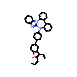 C=Cc1c(/C=C\C)oc2ccc(-c3ccc(N4c5ccccc5-c5ccccc5-n5c4nc4ccccc45)cc3)cc12